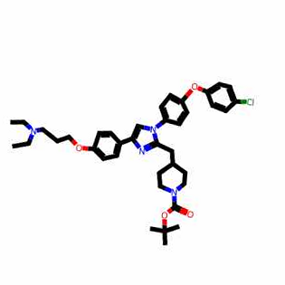 CCN(CC)CCCOc1ccc(-c2cn(-c3ccc(Oc4ccc(Cl)cc4)cc3)c(CC3CCN(C(=O)OC(C)(C)C)CC3)n2)cc1